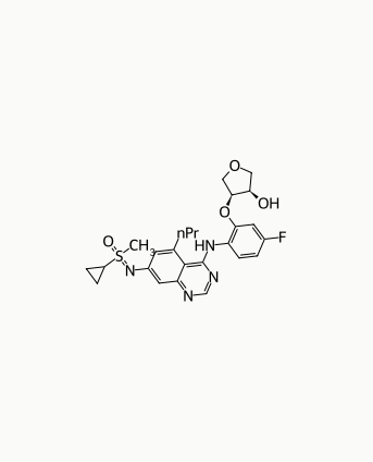 CCCc1cc(N=S(C)(=O)C2CC2)cc2ncnc(Nc3ccc(F)cc3O[C@H]3COC[C@H]3O)c12